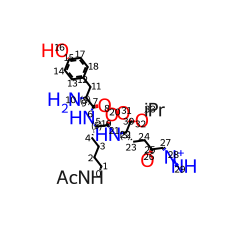 CC(=O)NCCCC[C@H](NC(=O)[C@@H](N)Cc1ccc(O)cc1)C(=O)N[C@@H](CCC(=O)C=[N+]=N)C(=O)OC(C)C